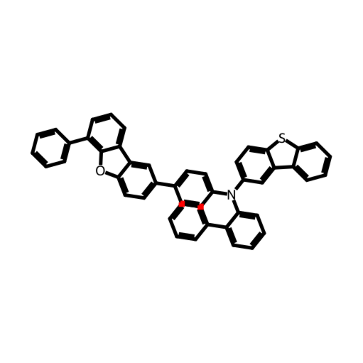 c1ccc(-c2ccccc2N(c2ccc(-c3ccc4oc5c(-c6ccccc6)cccc5c4c3)cc2)c2ccc3sc4ccccc4c3c2)cc1